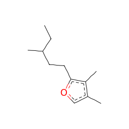 CCC(C)CCc1occ(C)c1C